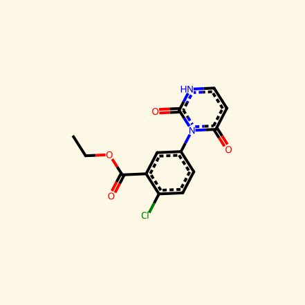 CCOC(=O)c1cc(-n2c(=O)cc[nH]c2=O)ccc1Cl